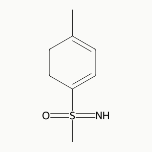 CC1=CC=C(S(C)(=N)=O)CC1